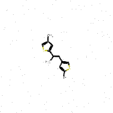 Cc1csc(C(C)Cc2csc(C(C)C)c2)c1